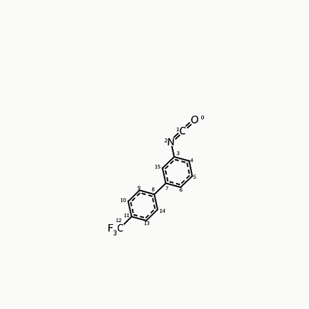 O=C=Nc1cccc(-c2ccc(C(F)(F)F)cc2)c1